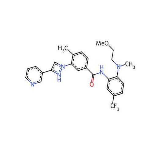 COCCN(C)c1ccc(C(F)(F)F)cc1NC(=O)c1ccc(C)c(-n2cc(-c3cccnc3)[nH]2)c1